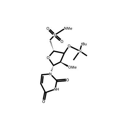 CNS(=O)(=O)C[C@H]1O[C@@H](n2ccc(=O)[nH]c2=O)[C@H](OC)C1O[Si](C)(C)C(C)(C)C